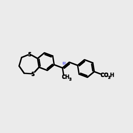 C/C(=C\c1ccc(C(=O)O)cc1)c1ccc2c(c1)SCCCS2